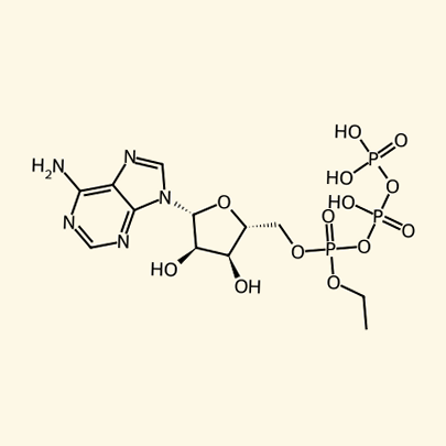 CCOP(=O)(OC[C@H]1O[C@@H](n2cnc3c(N)ncnc32)[C@H](O)[C@@H]1O)OP(=O)(O)OP(=O)(O)O